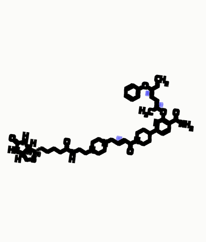 C=C/C(=C\C=C(/C)Oc1nc(C2CCN(C(=O)/C=C/CN3CCN(CCNC(=O)CCCC[C@@H]4SC[C@@H]5NC(=O)N[C@@H]54)CC3)CC2)ccc1C(N)=O)Oc1ccccc1